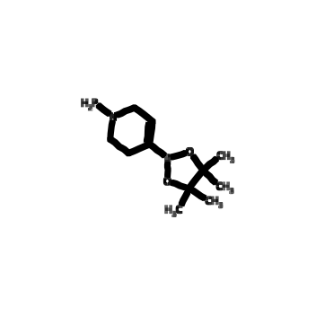 CC1(C)OB(C2=CCN(P)CC2)OC1(C)C